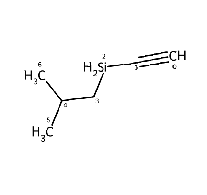 C#C[SiH2]CC(C)C